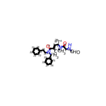 C/C(=C\[C@H](C(C)C)N(C)C(=O)CNC=O)C(=O)N(CCc1ccccc1)Cc1ccccc1